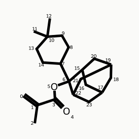 C=C(C)C(=O)OC1(C2CCC(C)(C)CC2)C2CC3CC(C2)CC1C3